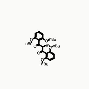 CCCCOc1cccc(OCCCC)c1C(=O)[C](C(=O)c1c(OCCCC)cccc1OCCCC)C(C)C